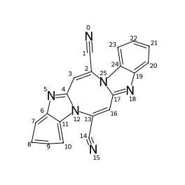 N#Cc1cc2nc3ccccc3n2c(C#N)cc2nc3ccccc3n12